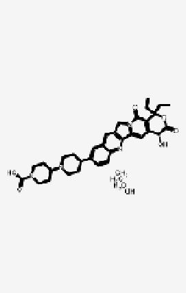 CCC1(CC)OC(=O)[C@@H](O)c2cc3n(c(=O)c21)Cc1cc2cc(C4CCN(C5CCN(C(=O)O)CC5)CC4)ccc2nc1-3.Cl.O.O.O